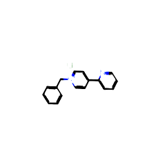 [Cl-].c1ccc(C[n+]2ccc(-c3ccccn3)cc2)cc1